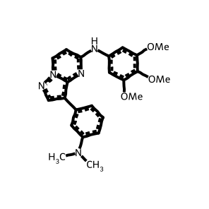 COc1cc(Nc2ccn3ncc(-c4cccc(N(C)C)c4)c3n2)cc(OC)c1OC